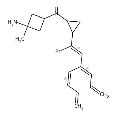 C=C\C=C/C(=C\C=C)/C=C(\CC)C1CC1NC1CC(C)(N)C1